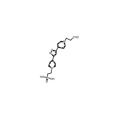 O=CCC[n+]1ccc(-c2cc(-c3cc[n+](CCP(=O)(O)O)cc3)no2)cc1